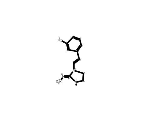 N#Cc1cccc(C=CN2CCNC2=N[N+](=O)[O-])c1